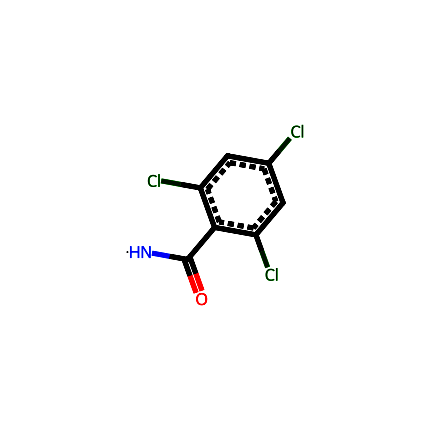 [NH]C(=O)c1c(Cl)cc(Cl)cc1Cl